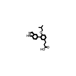 CC(C)COc1ccc(CCC(=O)O)cc1-c1ccc2[nH]ncc2c1